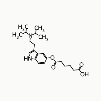 CC(C)N(CCc1c[nH]c2ccc(OC(=O)CCCCC(=O)O)cc12)C(C)C